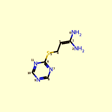 NC(N)=CCSc1ncncn1